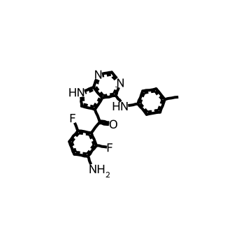 Cc1ccc(Nc2ncnc3[nH]cc(C(=O)c4c(F)ccc(N)c4F)c23)cc1